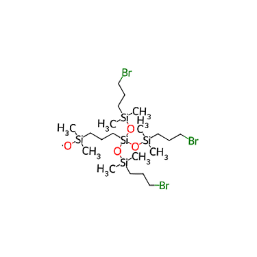 C[Si](C)([O])CCC[Si](O[Si](C)(C)CCCBr)(O[Si](C)(C)CCCBr)O[Si](C)(C)CCCBr